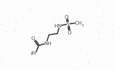 CC(C)C(=O)NCCNS(C)(=O)=O